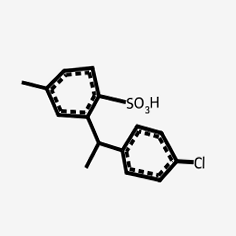 Cc1ccc(S(=O)(=O)O)c(C(C)c2ccc(Cl)cc2)c1